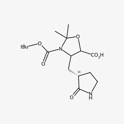 CC(C)(C)OC(=O)N1C(C[C@@H]2CCNC2=O)C(C(=O)O)OC1(C)C